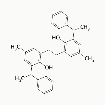 Cc1cc(CCc2cc(C)cc(C(C)c3ccccc3)c2O)c(O)c(C(C)c2ccccc2)c1